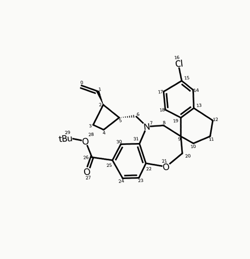 C=C[C@@H]1CC[C@H]1CN1CC2(CCCc3cc(Cl)ccc32)COc2ccc(C(=O)OC(C)(C)C)cc21